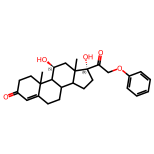 CC12CCC(=O)C=C1CCC1C2[C@@H](O)CC2(C)C1CC[C@]2(O)C(=O)COc1ccccc1